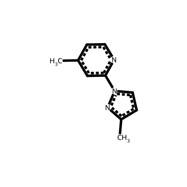 Cc1ccnc(-n2ccc(C)n2)c1